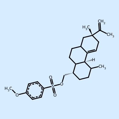 C=C(C)[C@]1(C)CC=C2C(CCC3[C@@H](COS(=O)(=O)c4ccc(OC)cc4)CCC(C)[C@H]23)C1